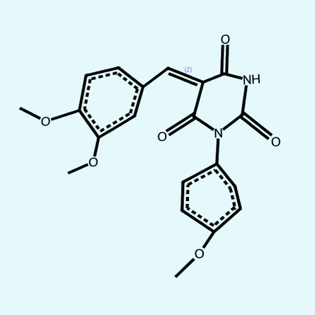 COc1ccc(N2C(=O)NC(=O)/C(=C/c3ccc(OC)c(OC)c3)C2=O)cc1